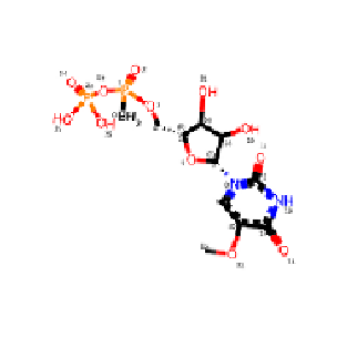 BP(=O)(OC[C@H]1O[C@@H](n2cc(OC)c(=O)[nH]c2=O)C(O)C1O)OP(=O)(O)O